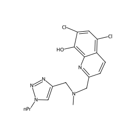 CCCn1cc(CN(C)Cc2ccc3c(Cl)cc(Cl)c(O)c3n2)nn1